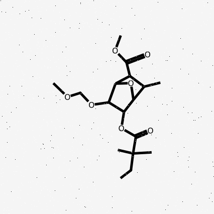 CCC(C)(C)C(=O)OC1C2OC(C1OCOC)C(C(=O)OC)C2C